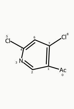 CC(=O)c1cnc(Cl)cc1Cl